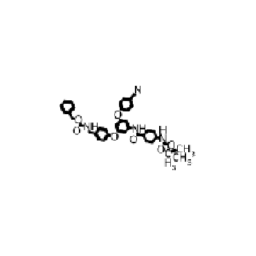 CC(C)(C)OC(=O)NC1CCC(C(=O)Nc2cc(Oc3ccc(C#N)cc3)cc(Oc3ccc(CNC(=O)OCc4ccccc4)cc3)c2)CC1